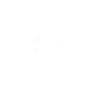 CN(C)CCCc1ccc2ccc3cccnc3c2n1